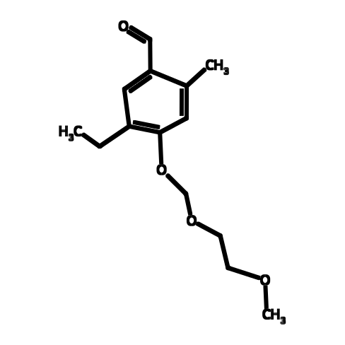 CCc1cc(C=O)c(C)cc1OCOCCOC